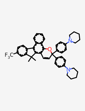 CC1(C)c2cc(C(F)(F)F)ccc2-c2c1c1c(c3ccccc23)OC(c2ccc(N3CCCCC3)cc2)(c2ccc(N3CCCCC3)cc2)C=C1